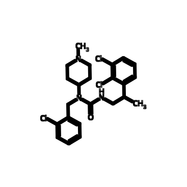 CC(CNC(=O)N(Cc1ccccc1Cl)C1CCN(C)CC1)c1cccc(Cl)c1Cl